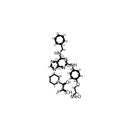 C=C(F)C(=O)N1CCC[C@H](n2cnc3c(NCc4ccccc4)nc(Nc4ccc(OCCOC)cc4)nc32)C1